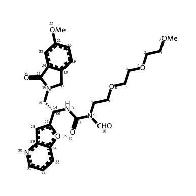 COCCOCCOCCN(C=O)C(=O)N[C@@H](CN1Cc2ccc(OC)cc2C1=O)c1cc2ncccc2o1